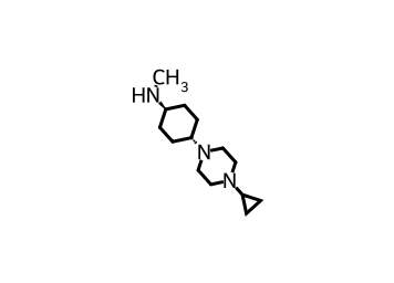 CN[C@H]1CC[C@H](N2CCN(C3CC3)CC2)CC1